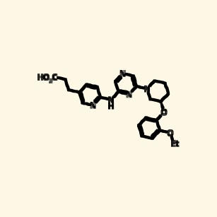 CCOc1ccccc1O[C@@H]1CCCN(c2cncc(Nc3ccc(CCC(=O)O)cn3)n2)C1